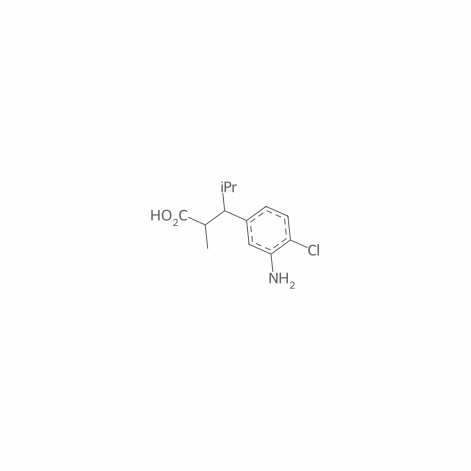 CC(C)C(c1ccc(Cl)c(N)c1)C(C)C(=O)O